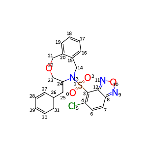 O=S(=O)(c1c(Cl)ccc2nonc12)N1Cc2ccccc2COCC1CC1C=CC=CC1